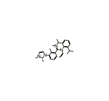 C/C=C\N(/C(=N/C)c1cccc(N2C=CN(C)[C@@H]2C)c1C)c1c(C(C)C)cccc1C(C)C